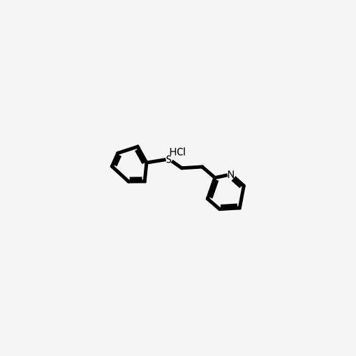 Cl.c1ccc(SCCc2ccccn2)cc1